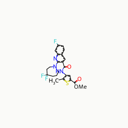 COC(=O)c1cc(NC(=O)c2cc3ccc(F)cc3nc2N2CCCC(F)(F)CC2)c(C)s1